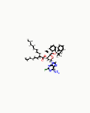 C#C[C@]1(CO[Si](c2ccccc2)(c2ccccc2)C(C)(C)C)O[C@@H](n2cnc3c(N)nc(F)nc32)C[C@@H]1OC(=O)C(CCCCCC)CCCCCCCC